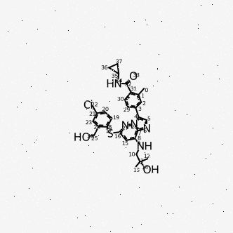 Cc1cc(-c2cnc3c(NCC(C)(C)O)cc(Sc4ccc(Cl)cc4CO)nn23)ccc1C(=O)NC1CC1